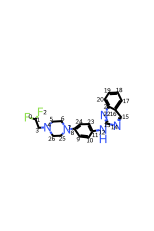 FC(F)CN1CCN(c2ccc(Nc3ncc4ccccc4n3)cc2)CC1